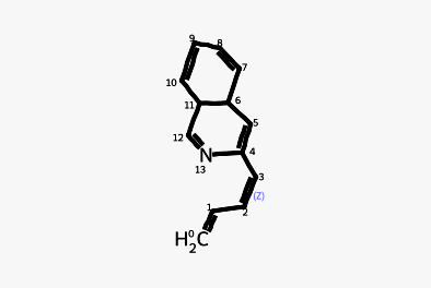 C=C/C=C\C1=CC2C=CC=CC2C=N1